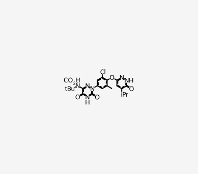 Cc1cc(-n2nc(N(C(=O)O)C(C)(C)C)c(=O)[nH]c2=O)cc(Cl)c1Oc1cc(C(C)C)c(=O)[nH]n1